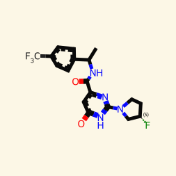 CC(NC(=O)c1cc(=O)[nH]c(N2CC[C@H](F)C2)n1)c1ccc(C(F)(F)F)cc1